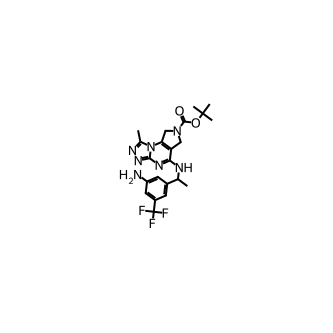 Cc1nnc2nc(NC(C)c3cc(N)cc(C(F)(F)F)c3)c3c(n12)CN(C(=O)OC(C)(C)C)C3